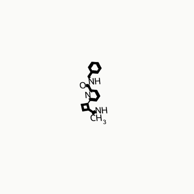 CC(=N)C1CC[C@H]1c1cccc(C(=O)NCc2ccccc2)n1